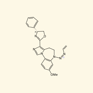 C=C/N=N\N1CCc2c(C3=N[C@H](c4ccccc4)CO3)ncn2-c2ccc(OC)cc21